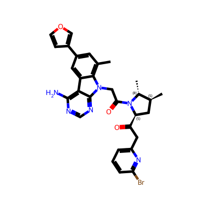 Cc1cc(-c2ccoc2)cc2c3c(N)ncnc3n(CC(=O)N3[C@H](C)[C@@H](C)C[C@H]3C(=O)Cc3cccc(Br)n3)c12